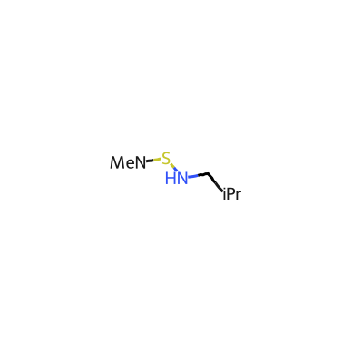 CNSNCC(C)C